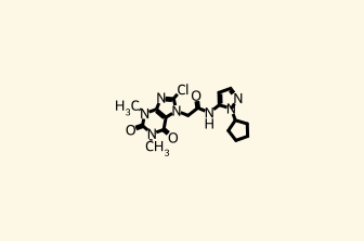 Cn1c(=O)c2c(nc(Cl)n2CC(=O)Nc2ccnn2C2CCCC2)n(C)c1=O